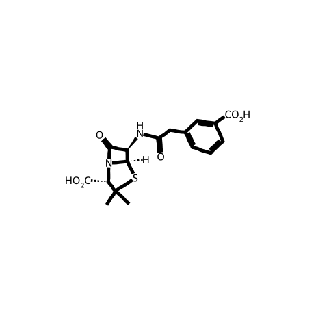 CC1(C)S[C@@H]2[C@H](NC(=O)Cc3cccc(C(=O)O)c3)C(=O)N2[C@H]1C(=O)O